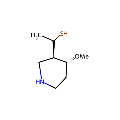 CO[C@@H]1CCNC[C@H]1C(C)S